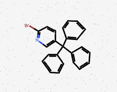 Brc1ccc(C(c2ccccc2)(c2ccccc2)c2ccccc2)cn1